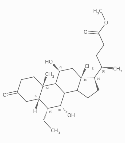 CC[C@H]1[C@@H](O)C2C3CC[C@H]([C@H](C)CCC(=O)OC)[C@@]3(C)C[C@H](O)C2[C@@]2(C)CCC(=O)C[C@@H]12